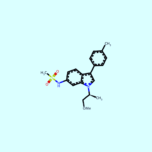 COC[C@H](C)n1cc(-c2ccc(C)cc2)c2ccc(NS(C)(=O)=O)cc21